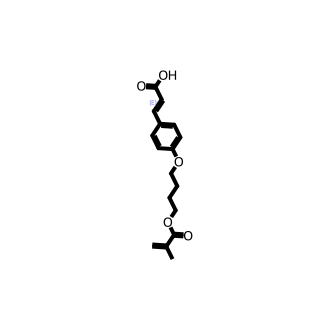 C=C(C)C(=O)OCCCCOc1ccc(/C=C/C(=O)O)cc1